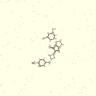 N#Cc1ccc(O[C@H]2C[C@H](n3nc4n(c3=O)[C@H](c3cc(F)cc(F)c3)CC4)C2)cn1